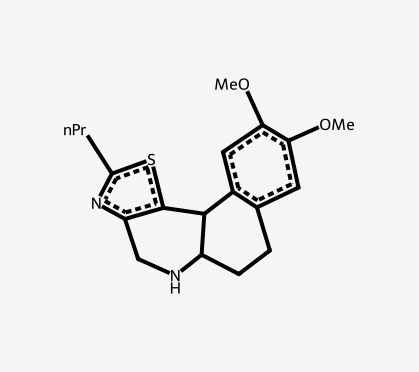 CCCc1nc2c(s1)C1c3cc(OC)c(OC)cc3CCC1NC2